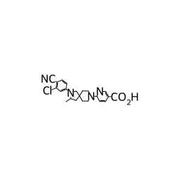 CC1CC2(CCN(c3ccc(C(=O)O)cn3)CC2)CN1c1ccc(C#N)c(Cl)c1